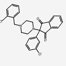 O=C1c2ccccc2C(=O)C1(c1cccc(Cl)c1)N1CCN(Cc2ccccc2Cl)CC1